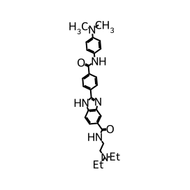 CCN(CC)CCNC(=O)c1ccc2[nH]c(-c3ccc(C(=O)Nc4ccc(N(C)C)cc4)cc3)nc2c1